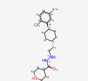 O=C(NNCC[C@H]1CC[C@H](c2cc(F)ccc2Cl)CC1)C1CCOCC1